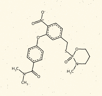 CN(C)C(=O)c1ccc(Oc2cc(CSP3(=O)OCCCN3C)ccc2[N+](=O)[O-])cc1